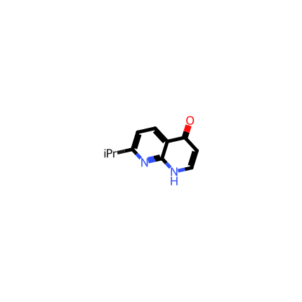 CC(C)c1ccc2c(=O)cc[nH]c2n1